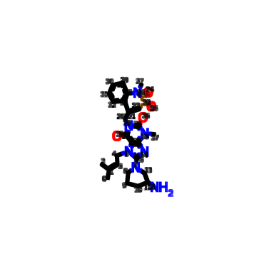 CC(C)=CCn1c(N2CCCC(N)C2)nc2c1c(=O)n(CC1=CS(=O)(=O)N(C)c3ccccc31)c(=O)n2C